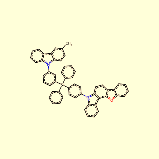 Cc1ccc2c(c1)c1ccccc1n2-c1cccc([Si](c2ccccc2)(c2ccccc2)c2ccc(-n3c4ccccc4c4c5oc6ccccc6c5ccc43)cc2)c1